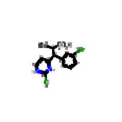 CC(C)(C)C(C(=O)O)C(c1cccc(Br)c1)c1ccnc(Cl)n1